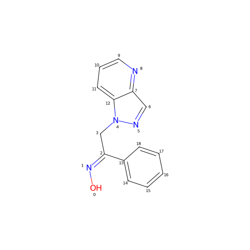 O/N=C(/Cn1ncc2ncccc21)c1ccccc1